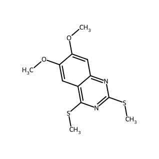 COc1cc2nc(SC)nc(SC)c2cc1OC